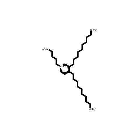 CCCCCCCCCCCCCCCCCCCc1cc[n+](CCCCCCCCCCCCCC)cc1CCCCCCCCCCCCCCCCCCC